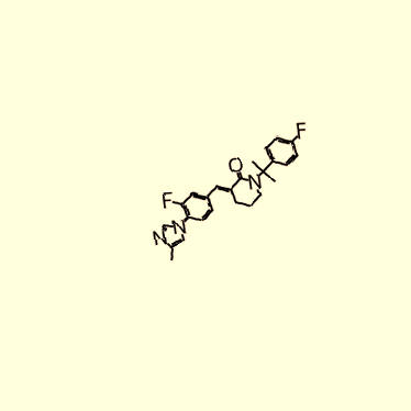 Cc1cn(-c2ccc(C=C3CCCN(C(C)(C)c4ccc(F)cc4)C3=O)cc2F)cn1